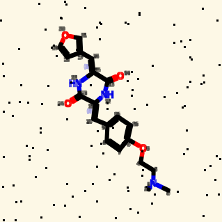 CN(C)CCOc1ccc(/C=c2\[nH]c(=O)/c(=C/c3ccoc3)[nH]c2=O)cc1